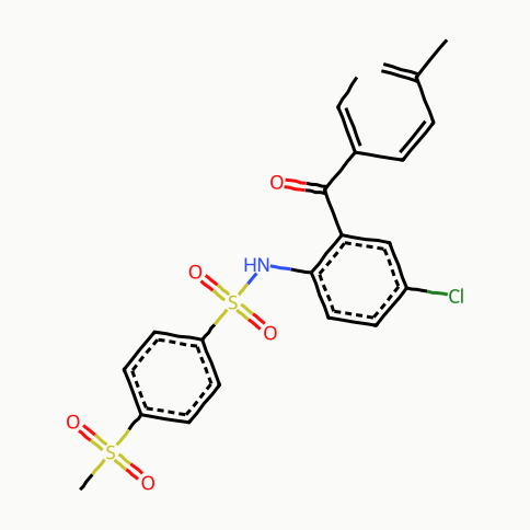 C=C(C)/C=C\C(=C/C)C(=O)c1cc(Cl)ccc1NS(=O)(=O)c1ccc(S(C)(=O)=O)cc1